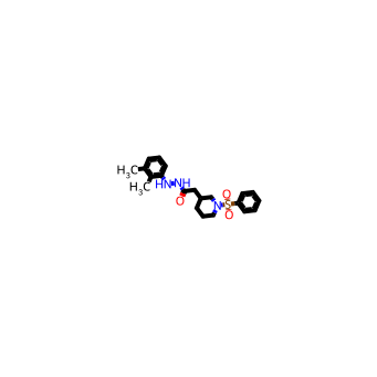 Cc1cccc(NNC(=O)CC2CCCN(S(=O)(=O)c3ccccc3)C2)c1C